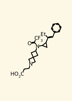 CC/C(=C\c1ccccc1)C1CC1N(C(=O)C(F)(F)F)C1CC2(C1)CN(CCC(=O)O)C2